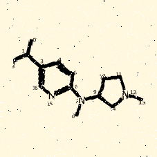 CC(C)c1ccc(N(C)C2CCN(C)C2)nc1